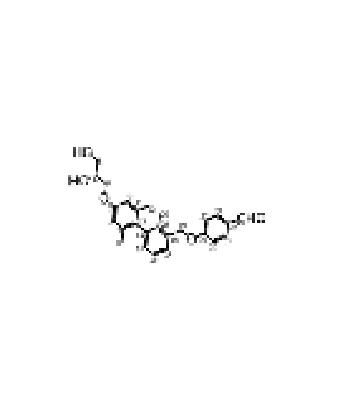 Cc1cc(OC[C@H](O)CO)cc(C)c1-c1cccc(COc2ccc(C=O)cc2)c1C